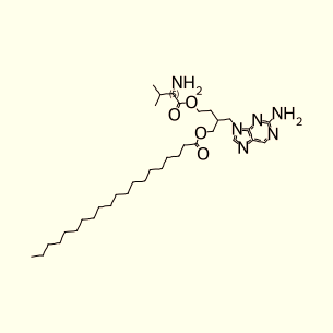 CCCCCCCCCCCCCCCCCCCC(=O)OCC(CCOC(=O)[C@@H](N)C(C)C)Cn1cnc2cnc(N)nc21